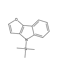 C[Si](C)(C)n1c2ccccc2c2occc21